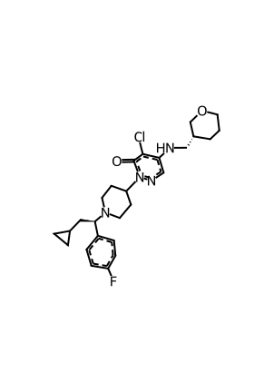 O=c1c(Cl)c(NC[C@H]2CCCOC2)cnn1C1CCN([C@H](CC2CC2)c2ccc(F)cc2)CC1